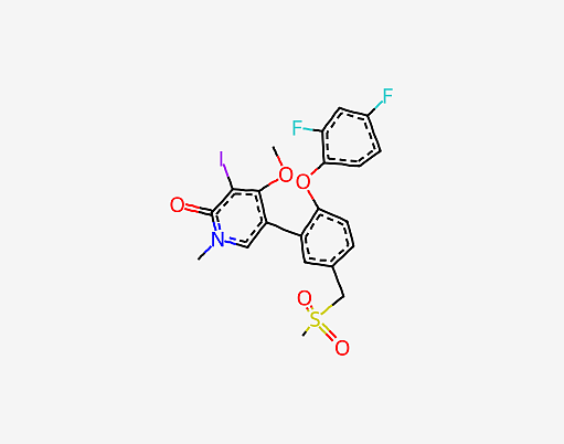 COc1c(-c2cc(CS(C)(=O)=O)ccc2Oc2ccc(F)cc2F)cn(C)c(=O)c1I